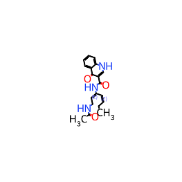 CC/C=C\C(=C/CNC(C)=O)NC(=O)c1c[nH]c2ccccc2c1=O